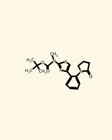 CN(C(=O)OC(C)(C)C)c1nc(-c2ccccc2N2CCCC2=O)cs1